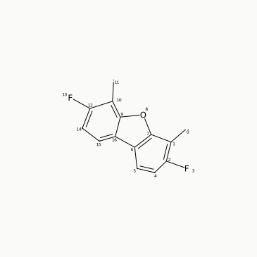 [CH2]c1c(F)ccc2c1oc1c([CH2])c(F)ccc12